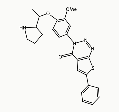 COc1cc(-n2nnc3sc(-c4ccccc4)cc3c2=O)ccc1OC(C)C1CCCN1